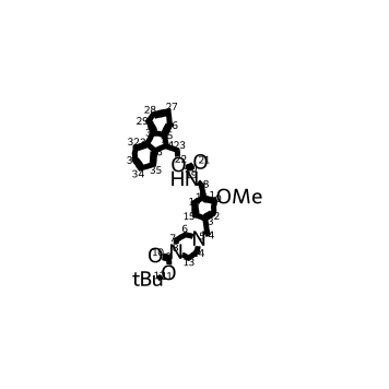 COc1cc(CN2CCN(C(=O)OC(C)(C)C)CC2)ccc1CNC(=O)OCC1c2ccccc2-c2ccccc21